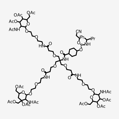 CC(=O)NC1C(OCCOCCNC(=O)CCOCC(COCCC(=O)NCCOCCOC2OC(COC(C)=O)C(OC(C)=O)C(OC(C)=O)C2NC(C)=O)(COCCC(=O)NCCOCCOC2OC(COC(C)=O)CC(COC(C)=O)(OC(C)=O)C2NC(C)=O)NC(=O)C2CCC(OP(NC(C(C)C)C(C)C)OCCC#N)CC2)OC(COC(C)=O)C(OC(C)=O)C1OC(C)=O